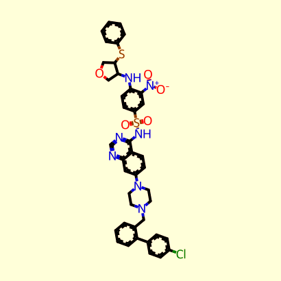 O=[N+]([O-])c1cc(S(=O)(=O)Nc2ncnc3cc(N4CCN(Cc5ccccc5-c5ccc(Cl)cc5)CC4)ccc23)ccc1NC1COCC1Sc1ccccc1